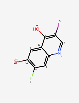 Oc1c(I)cnc2cc(F)c(Br)cc12